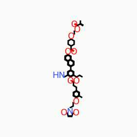 C=C(C)C(=O)OCCOC1CCC(C(=O)Oc2ccc3cc(-c4cc(C=N)c(OC(=O)CCc5ccc(OCCCN6C(=O)C=CC6=O)c(C)c5)c(CCC)c4)ccc3c2)CC1